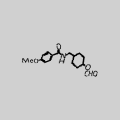 COc1ccc(C(=O)NCC2CCC(OC=O)CC2)cc1